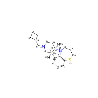 c1cc2c3c(c1)[C@H]1CN(CC4CCC4)CC[C@H]1N3CCCS2